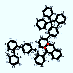 c1ccc(C2(c3ccccc3)c3ccccc3-c3ccc(-c4ccc(N(c5ccc(-c6cccc7sc8ccccc8c67)cc5)c5ccccc5-c5cccc6ccccc56)cc4)cc32)cc1